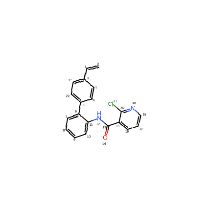 C=Cc1ccc(-c2ccccc2NC(=O)c2cccnc2Cl)cc1